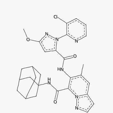 COc1cc(C(=O)Nc2c(C)cc3ccnn3c2C(=O)NC23CC4CC(CC(C4)C2)C3)n(-c2ncccc2Cl)n1